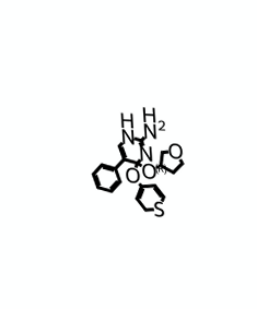 NC1=NC(OC2=CCSC=C2)(O[C@@H]2CCOC2)C(c2ccccc2)=CN1